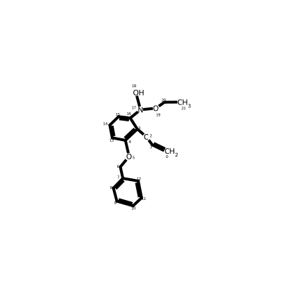 C=CCc1c(OCc2ccccc2)cccc1N(O)OCC